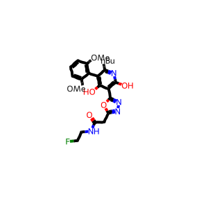 CCCCc1nc(O)c(-c2nnc(CC(=O)NCCF)o2)c(O)c1-c1c(OC)cccc1OC